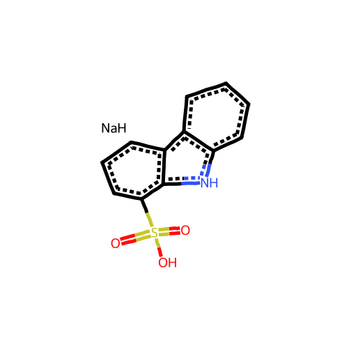 O=S(=O)(O)c1cccc2c1[nH]c1ccccc12.[NaH]